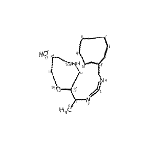 CC(N=C=NC1CCCCC1)C1CNCCO1.Cl